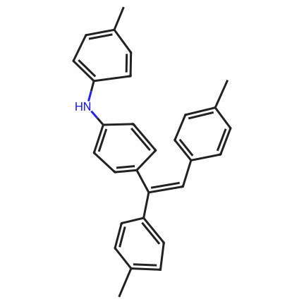 Cc1ccc(C=C(c2ccc(C)cc2)c2ccc(Nc3ccc(C)cc3)cc2)cc1